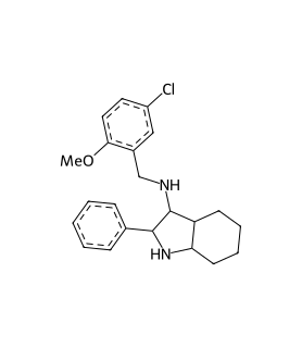 COc1ccc(Cl)cc1CNC1C(c2ccccc2)NC2CCCCC21